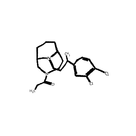 CCC(=O)N1CCC2CCCC(C1)N2CCC(C)c1ccc(Cl)c(Cl)c1